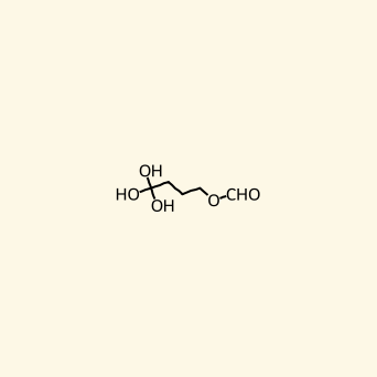 O=COCCCC(O)(O)O